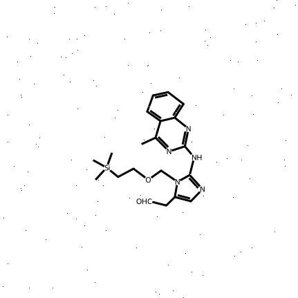 Cc1nc(Nc2ncc(CC=O)n2COCC[Si](C)(C)C)nc2ccccc12